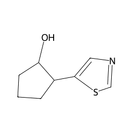 OC1CCCC1c1cncs1